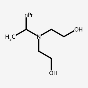 CCCC(C)N(CCO)CCO